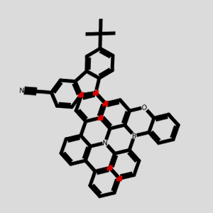 CC(C)(C)c1ccc2c(c1)c1cc(C#N)ccc1n2-c1cc2c3c(c1)N(c1c(-c4ccccc4)cccc1-c1ccccc1)c1ccccc1B3c1ccccc1O2